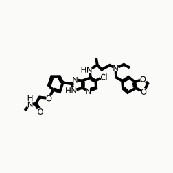 CCN(CCC(C)Nc1c(Cl)cnc2[nH]c(-c3cccc(OCC(=O)NC)c3)nc12)Cc1ccc2c(c1)OCO2